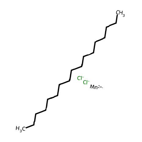 CCCCCCCCCCCCCCCCC.[Cl-].[Cl-].[Mn+2]